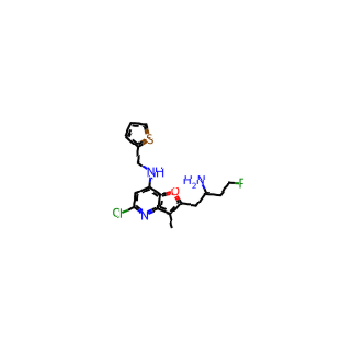 Cc1c(CC(N)CCF)oc2c(NCc3cccs3)cc(Cl)nc12